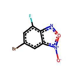 [O-][n+]1onc2c(F)cc(Br)cc21